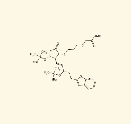 COC(=O)CSCCCS[C@H]1C(=O)C[C@@H](O[Si](C)(C)C(C)(C)C)[C@@H]1C=C[C@H](CCc1cc2ccccc2s1)O[Si](C)(C)C(C)(C)C